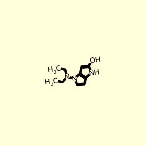 CCN(CC)n1ccc2[nH]c(O)cc21